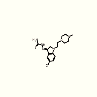 CN1CCN(CCN2C/C(=N\NC(N)=S)c3cc(Cl)ccc32)CC1